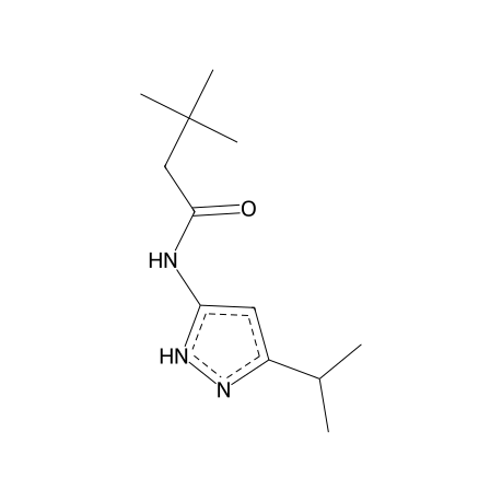 CC(C)c1cc(NC(=O)CC(C)(C)C)[nH]n1